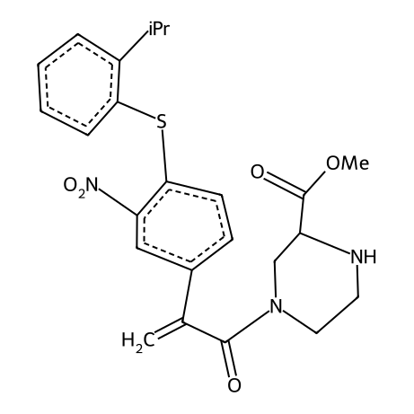 C=C(C(=O)N1CCNC(C(=O)OC)C1)c1ccc(Sc2ccccc2C(C)C)c([N+](=O)[O-])c1